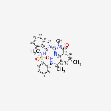 CNS(=O)(=O)c1ccccc1NC(C)c1cc(C)cc2c(=O)n(C)c(N3Cc4ccccc4C3)nc12